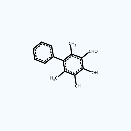 Cc1c(C)c(-c2ccccc2)c(C)c(C=O)c1O